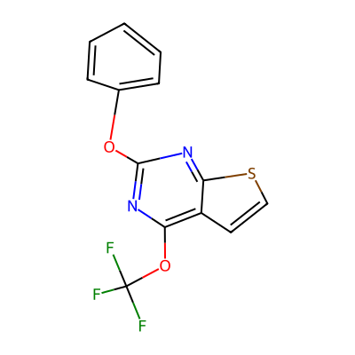 FC(F)(F)Oc1nc(Oc2ccccc2)nc2sccc12